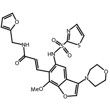 COc1c(C=CC(=O)NCc2ccco2)c(NS(=O)(=O)c2nccs2)cc2c(N3CCOCC3)coc12